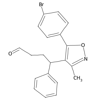 Cc1noc(-c2ccc(Br)cc2)c1C(CCC=O)c1ccccc1